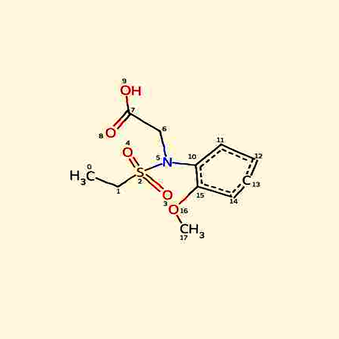 CCS(=O)(=O)N(CC(=O)O)c1ccccc1OC